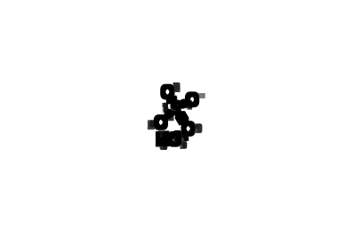 O=S(=O)([O-])[O-].[OH-].[Zr+3]